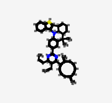 C=Cc1c(/C=C\C)nc(-c2ccc3c(c2)C(C)(C)C2C=CC=C4c5sc6ccccc6c5N3C42)nc1-c1cccc(=C)ccccc1=C